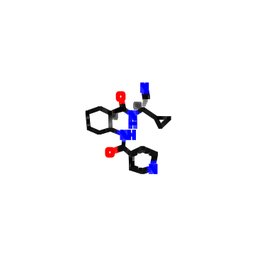 N#C[C@@H](NC(=O)[C@@H]1CCCCC1NC(=O)c1ccncc1)C1CC1